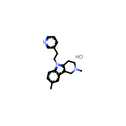 Cc1ccc2c(c1)c1c(n2CCc2cccnc2)CCN(C)C1.Cl